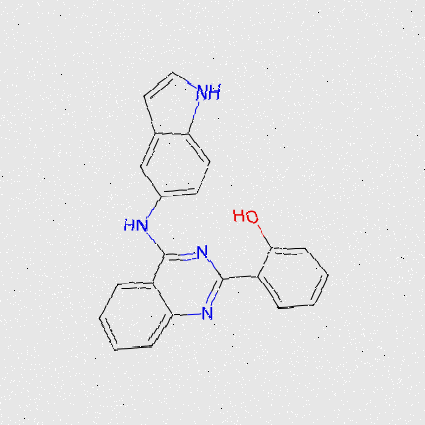 Oc1ccccc1-c1nc(Nc2ccc3[nH]ccc3c2)c2ccccc2n1